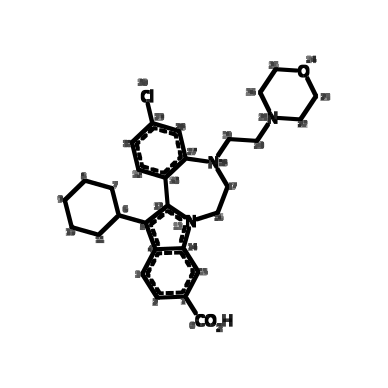 O=C(O)c1ccc2c(C3CCCCC3)c3n(c2c1)CCN(CCN1CCOCC1)c1cc(Cl)ccc1-3